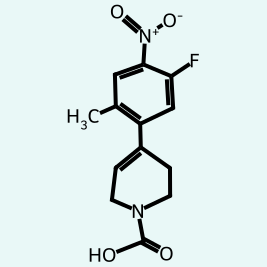 Cc1cc([N+](=O)[O-])c(F)cc1C1=CCN(C(=O)O)CC1